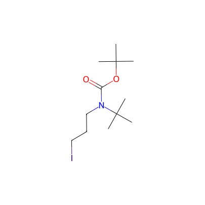 CC(C)(C)OC(=O)N(CCCI)C(C)(C)C